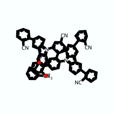 N#Cc1ccc(-c2cc(-c3c(C(F)(F)F)cccc3C(F)(F)F)ccc2-n2c3ccc(-c4ccccc4C#N)cc3c3cc(-c4ccccc4C#N)ccc32)c(-n2c3ccc(-c4ccccc4C#N)cc3c3cc(-c4ccccc4C#N)ccc32)c1